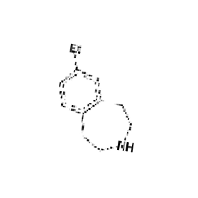 CCc1ccc2c(c1)CCNCC2